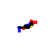 CNCCCOc1ccc2nc(C3=N[C@@H](C(=O)O)CS3)ccc2c1